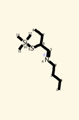 CCCC/N=C/C(CC)S[Si](C)(C)C